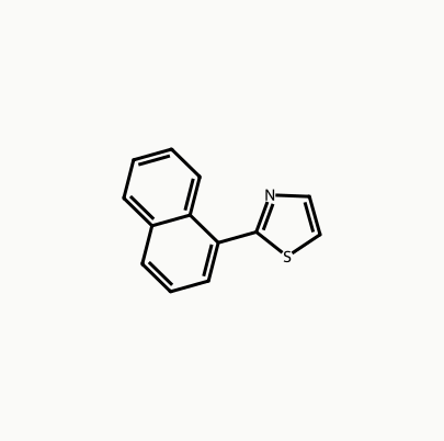 c1ccc2c(-c3nccs3)cccc2c1